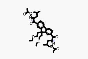 CCOCCC1(CCOCC)c2cc(C(=O)/C(CC(C)C)=N/OC(C)=O)ccc2-c2ccc(C(=O)/C(CC(C)C)=N/OC(C)=O)cc21